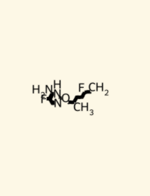 C=CC(F)CCC(C)COC1N=CC(F)=C(N)N1